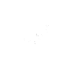 CCc1ccc(C(=O)c2c(C)cc3n2CCCCC3C(=O)O)cc1